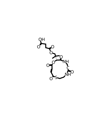 CC(C)(COC(=O)CCC(=O)O)[C@H]1OC(=O)/C=C/C(=O)SCCNC(=O)CCNC1=O